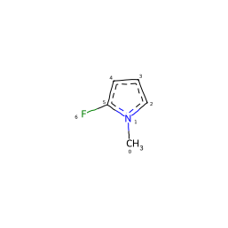 Cn1cccc1F